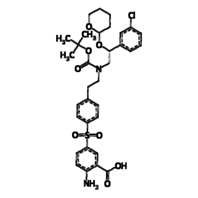 CC(C)(C)OC(=O)N(CCc1ccc(S(=O)(=O)c2ccc(N)c(C(=O)O)c2)cc1)C[C@H](OC1CCCCO1)c1cccc(Cl)c1